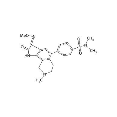 CON=C1C(=O)Nc2c1cc(-c1ccc(S(=O)(=O)N(C)C)cc1)c1c2CN(C)CC1